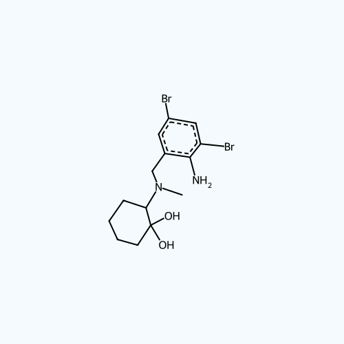 CN(Cc1cc(Br)cc(Br)c1N)C1CCCCC1(O)O